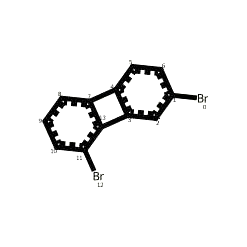 Brc1[c]c2c(cc1)-c1cccc(Br)c1-2